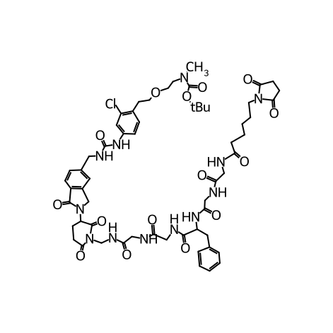 CN(CCOCCc1ccc(NC(=O)NCc2ccc3c(c2)CN(C2CCC(=O)N(CNC(=O)CNC(=O)CNC(=O)C(Cc4ccccc4)NC(=O)CNC(=O)CNC(=O)CCCCCN4C(=O)CCC4=O)C2=O)C3=O)cc1Cl)C(=O)OC(C)(C)C